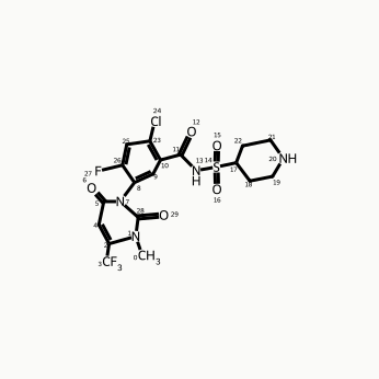 Cn1c(C(F)(F)F)cc(=O)n(-c2cc(C(=O)NS(=O)(=O)C3CCNCC3)c(Cl)cc2F)c1=O